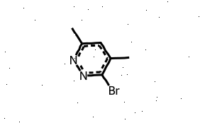 Cc1cc(C)c(Br)nn1